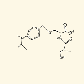 CC(C)N(C)c1ccc(CSC[C@H](NC(=O)[C@H](C)CS)C(=O)O)cc1